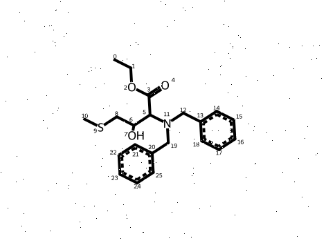 CCOC(=O)C(C(O)CSC)N(Cc1ccccc1)Cc1ccccc1